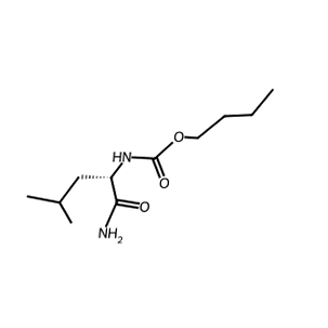 CCCCOC(=O)N[C@@H](CC(C)C)C(N)=O